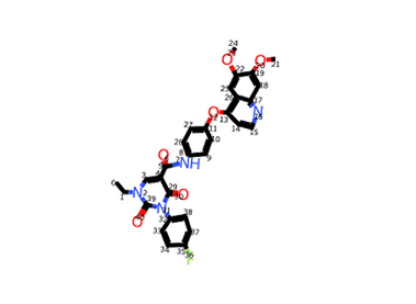 CCn1cc(C(=O)Nc2ccc(Oc3ccnc4cc(OC)c(OC)cc34)cc2)c(=O)n(-c2ccc(F)cc2)c1=O